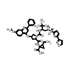 C=CC1CC1(NC(=O)C1CC(Oc2cc(-c3ccccc3)nc3cc(OC)ccc23)CN1C(=O)NC(CNS(=O)(=O)c1ccc(-c2ccon2)s1)C(C)(C)C)C(=O)O